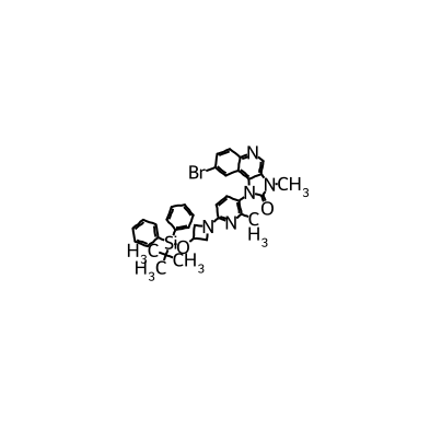 Cc1nc(N2CC(O[Si](c3ccccc3)(c3ccccc3)C(C)(C)C)C2)ccc1-n1c(=O)n(C)c2cnc3ccc(Br)cc3c21